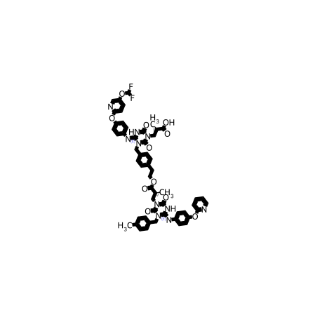 Cc1ccc(Cn2c(=O)n(C[C@@H](C)C(=O)OCCc3ccc(Cn4c(=O)n(C[C@H](C)C(=O)O)c(=O)[nH]/c4=N\c4ccc(Oc5ccc(OC(F)F)cn5)cc4)cc3)c(=O)[nH]/c2=N\c2ccc(Oc3ccccn3)cc2)cc1